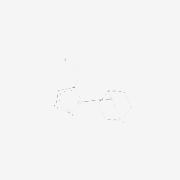 CCCSc1c[nH]nc1C1CN2CCC1CC2